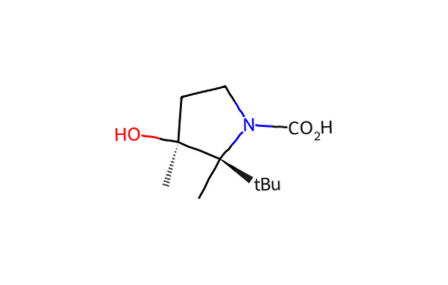 CC(C)(C)[C@]1(C)N(C(=O)O)CC[C@]1(C)O